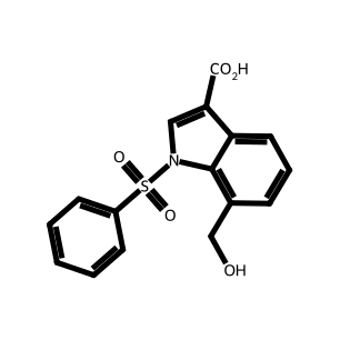 O=C(O)c1cn(S(=O)(=O)c2ccccc2)c2c(CO)cccc12